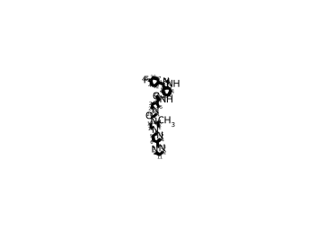 C[C@H]1CN(c2ccc(-c3ncccn3)cn2)CCN1C(=O)CN1CCC(C(=O)Nc2ccc3[nH]nc(-c4ccc(F)cc4)c3c2)C1